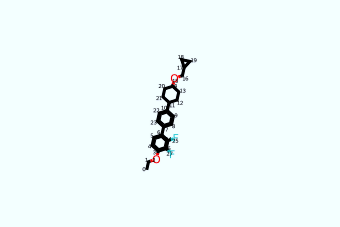 CCOc1ccc(-c2ccc(C3CCC(OCC4CC4)CC3)cc2)c(F)c1F